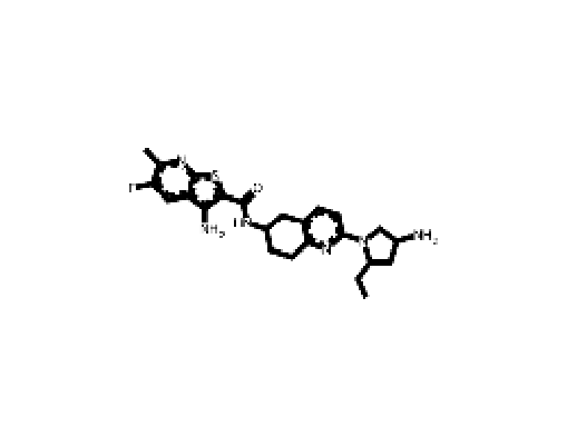 CCC1CC(N)CN1c1ccc2c(n1)CCC(NC(=O)c1sc3nc(C)c(F)cc3c1N)C2